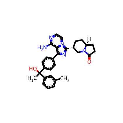 Cc1cccc(C(C)(O)c2ccc(-c3nc([C@@H]4CC[C@H]5CCC(=O)N5C4)n4ccnc(N)c34)cc2)c1